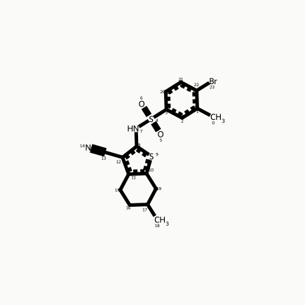 Cc1cc(S(=O)(=O)Nc2sc3c(c2C#N)CCC(C)C3)ccc1Br